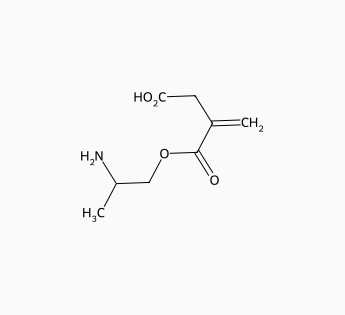 C=C(CC(=O)O)C(=O)OCC(C)N